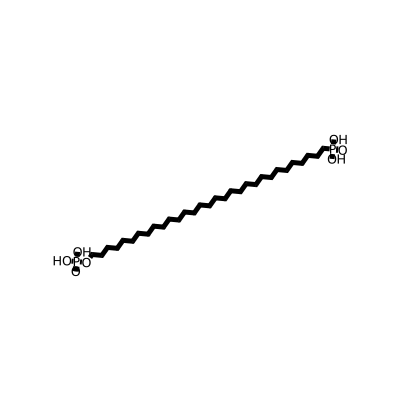 O=P(O)(O)CCCCCCCCCCCCCCCCCCCCCCCCCCCCCCCOP(=O)(O)O